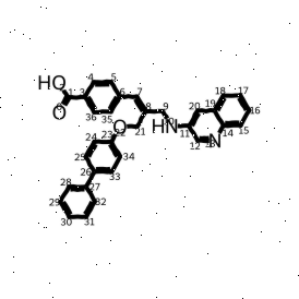 O=C(O)c1ccc(C=C(CNc2cnc3ccccc3c2)COc2ccc(-c3ccccc3)cc2)cc1